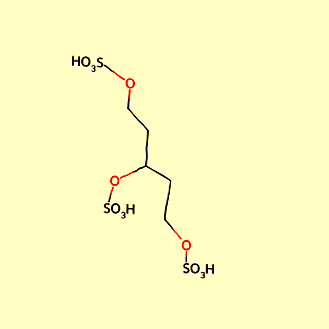 O=S(=O)(O)OCCC(CCOS(=O)(=O)O)OS(=O)(=O)O